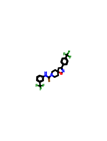 FC(F)(F)c1ccc(C2=NOC3(CCN(C(=S)Nc4cccc(C(F)(F)F)c4)CC3)C2)cc1